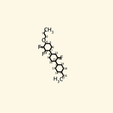 CCCOC1CCC(C2CCC(C3CCC(CC)CC3)C(F)C2)C(F)C1F